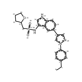 CCc1ccc(-n2cc(-c3ccc4[nH]cc(NS(=O)(=O)CC5CCCO5)c4c3)cn2)cc1